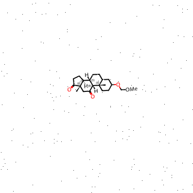 COCOC1CC[C@@]2(C)C(CC[C@@H]3[C@H]2C(=O)C[C@]2(C)C(=O)CC[C@@H]32)C1